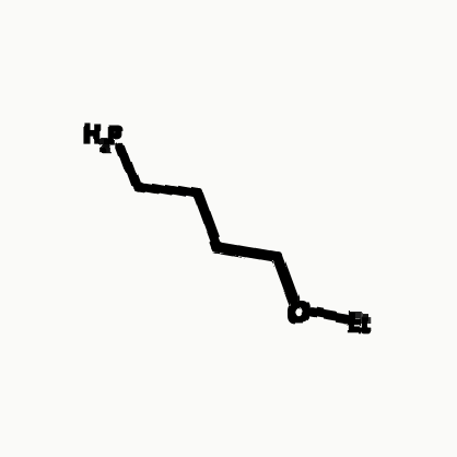 CCOCCCCP